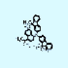 CC(C)c1ccc(N(c2ccc3c(c2)C(C)(C)c2ccccc2-3)c2ccc3c(c2)C(C)(C)c2ccccc2-3)c2ccccc12